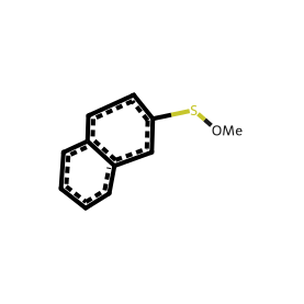 COSc1ccc2ccccc2c1